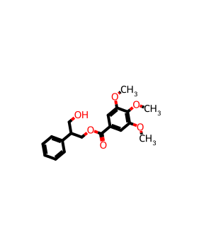 COc1cc(C(=O)OCC(CO)c2ccccc2)cc(OC)c1OC